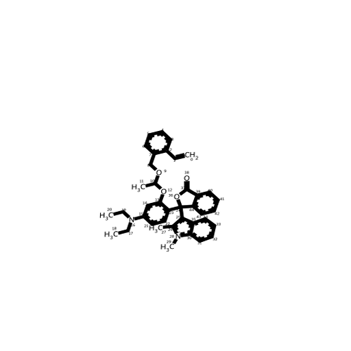 C=Cc1ccccc1COC(C)Oc1cc(N(CC)CC)ccc1C1(c2c(C)n(C)c3ccccc23)OC(=O)c2ccccc21